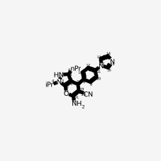 CCCC1NN(C(C)C)C2=C1C(c1ccc(-n3ccnc3)cc1)C(C#N)=C(N)O2